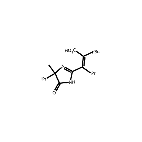 CCCCC(C(=O)O)=C(C1=NC(C)(C(C)C)C(=O)N1)C(C)C